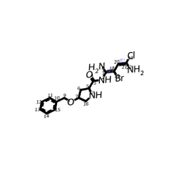 N/C(NC(=O)C1CC(OCc2ccccc2)CN1)=C(Br)\C=C(/N)Cl